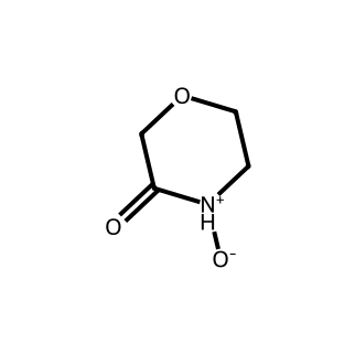 O=C1COCC[NH+]1[O-]